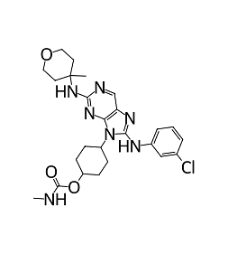 CNC(=O)OC1CCC(n2c(Nc3cccc(Cl)c3)nc3cnc(NC4(C)CCOCC4)nc32)CC1